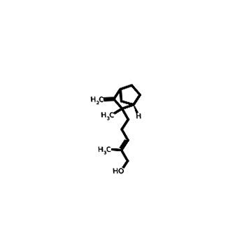 C=C1C2CC[C@@H](C2)C1(C)CC/C=C(\C)CO